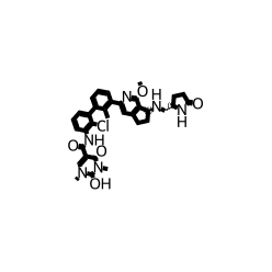 COc1nc(-c2cccc(-c3cccc(NC(=O)C4=CN(C)C(O)N(C)C4=O)c3Cl)c2C)cc2c1[C@@H](NC[C@@H]1CCC(=O)N1)CC2